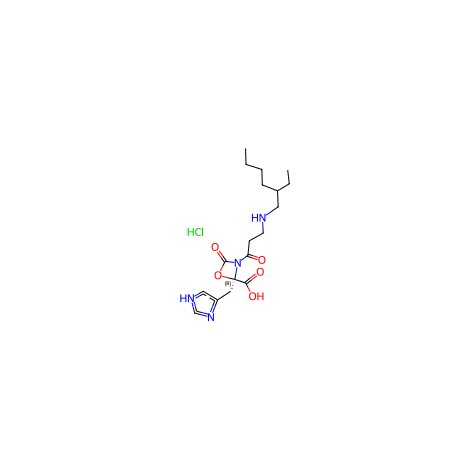 CCCCC(CC)CNCCC(=O)N1C(=O)O[C@]1(Cc1c[nH]cn1)C(=O)O.Cl